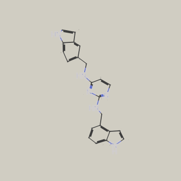 c1cc(CNc2nccc(NCc3ccc4[nH]ccc4c3)n2)c2cc[nH]c2c1